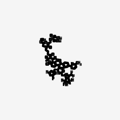 Cn1nc(N(C(=O)CCCN(CC(=O)OC(C)(C)C)C(=O)OCOP(=O)(OC(C)(C)C)OC(C)(C)C)S(C)(=O)=O)c2c(Cl)ccc(-n3c([C@H](Cc4cc(F)cc(F)c4)NC(=O)Cn4nc(C(F)F)c5c4C(F)(F)[C@@H]4C[C@H]54)nc4cc(-c5cccc(C(F)(F)F)n5)ccc4c3=O)c21